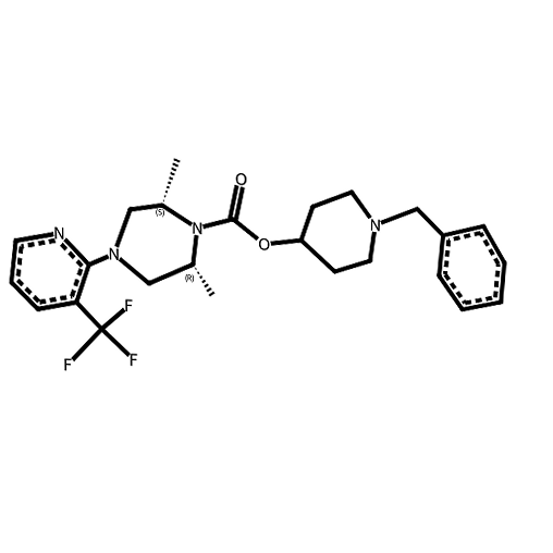 C[C@@H]1CN(c2ncccc2C(F)(F)F)C[C@H](C)N1C(=O)OC1CCN(Cc2ccccc2)CC1